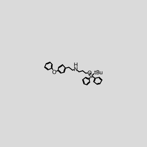 CC(C)(C)[Si](OCCCNCCc1ccc(Oc2ccccc2)cc1)(c1ccccc1)c1ccccc1